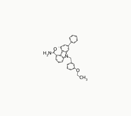 CCOc1cccc(Cn2c3cc(-c4ccccc4)c[c]c3c3c(C(N)=O)cccc32)c1